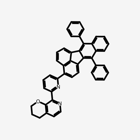 c1ccc(-c2c3c(c(-c4ccccc4)c4ccccc24)-c2ccc(-c4cccc(-c5nccc6c5OCCC6)n4)c4cccc-3c24)cc1